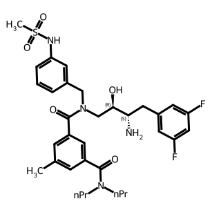 CCCN(CCC)C(=O)c1cc(C)cc(C(=O)N(Cc2cccc(NS(C)(=O)=O)c2)C[C@@H](O)[C@@H](N)Cc2cc(F)cc(F)c2)c1